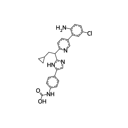 Nc1ccc(Cl)cc1-c1ccc(C(CC2CC2)c2ncc(-c3ccc(NC(=O)O)cc3)[nH]2)nc1